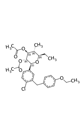 CCOc1ccc(Cc2cc([C@@H]3O[C@H](CC)[C@@H](C)[C@H](OC(C)=O)[C@H]3OC(C)=O)ccc2Cl)cc1